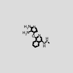 CPNc1cnc(Oc2ccnc(N)c2N)c2ccccc12